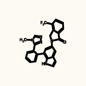 Cn1cnnc1-c1ccccc1-c1cc(N2Cc3c(cccc3C(F)(F)F)C2=O)cc2cc[nH]c12